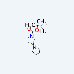 CC(C)(C)OC(=O)N1CC[C@H](N2CCCC2)C1